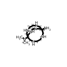 CN(C)C12CNCCNCC(N)(CNCCNC1)CNCCNC2